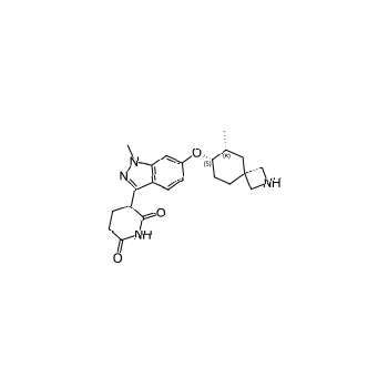 C[C@@H]1CC2(CC[C@@H]1Oc1ccc3c(C4CCC(=O)NC4=O)nn(C)c3c1)CNC2